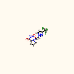 NC(=O)C1CCCN1C(=O)Cn1ccc(C(F)(F)F)n1